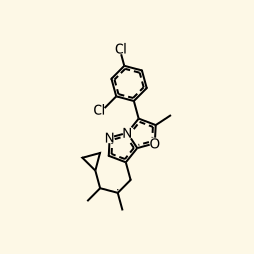 C[C](Cc1cnn2c(-c3ccc(Cl)cc3Cl)c(C)oc12)C(C)C1CC1